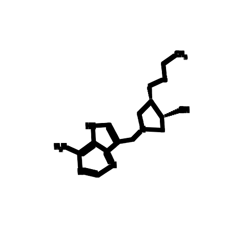 CCSC[C@H]1CN(Cc2c[nH]c3c(N)ncnc23)C[C@H]1O